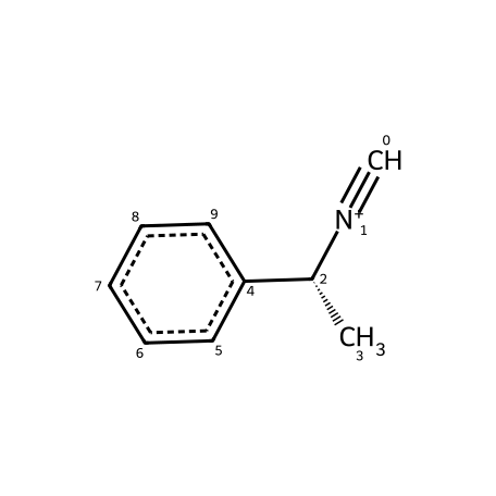 C#[N+][C@H](C)c1ccccc1